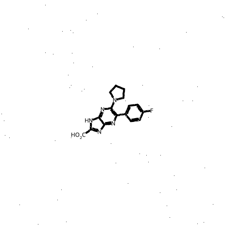 O=C(O)c1nc2nc(-c3ccc(F)cc3)c(N3CCCC3)nc2[nH]1